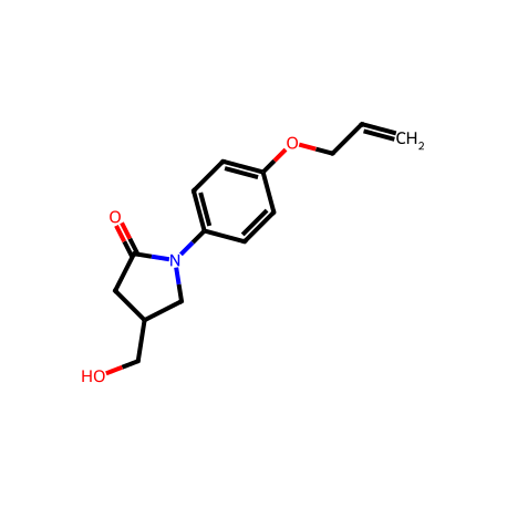 C=CCOc1ccc(N2CC(CO)CC2=O)cc1